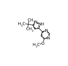 COc1cc(-c2cc(C(C)(C)C)n[nH]2)ncn1